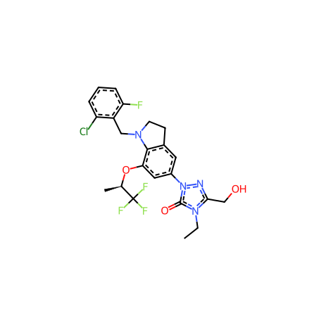 CCn1c(CO)nn(-c2cc3c(c(O[C@H](C)C(F)(F)F)c2)N(Cc2c(F)cccc2Cl)CC3)c1=O